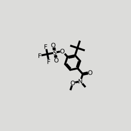 CON(C)C(=O)c1ccc(OS(=O)(=O)C(F)(F)F)c(C(C)(C)C)c1